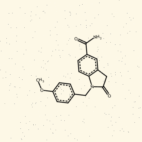 COc1ccc(CN2C(=O)Cc3cc(C(N)=O)ccc32)cc1